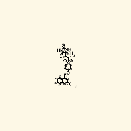 Cc1cc(COC2CCN(S(=O)(=O)CCC3(C)NC(=O)NC3=O)CC2)c2ccccc2n1